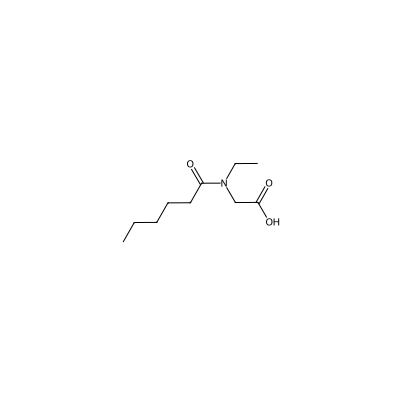 CCCCCC(=O)N(CC)CC(=O)O